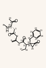 C=C(CC(=O)C[C@H](NC)C(C)=O)CC(=O)C(CC)[C@@]1(Cc2ccccc2)CC1=O